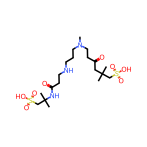 CN(CCCNCCC(=O)NC(C)(C)CS(=O)(=O)O)CCC(=O)CC(C)(C)CS(=O)(=O)O